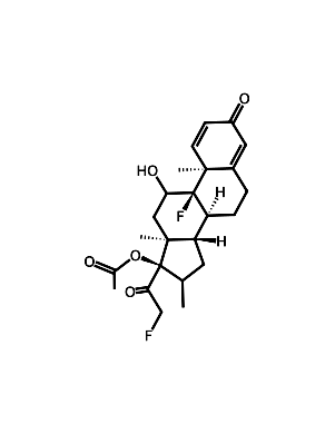 CC(=O)O[C@]1(C(=O)CF)C(C)C[C@H]2[C@@H]3CCC4=CC(=O)C=C[C@]4(C)[C@@]3(F)C(O)C[C@@]21C